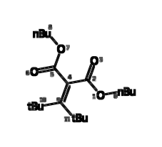 CCCCOC(=O)C(C(=O)OCCCC)=C(C(C)(C)C)C(C)(C)C